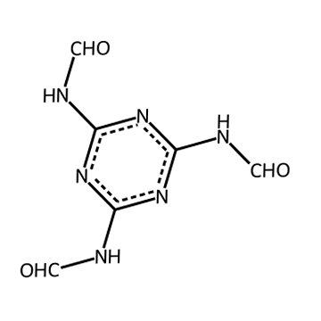 O=CNc1nc(NC=O)nc(NC=O)n1